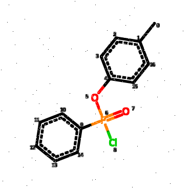 Cc1ccc(OP(=O)(Cl)c2ccccc2)cc1